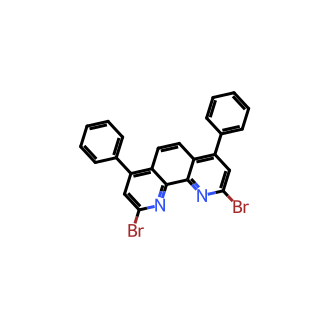 Brc1cc(-c2ccccc2)c2ccc3c(-c4ccccc4)cc(Br)nc3c2n1